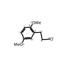 COc1ccc(OC)c(CCCl)c1